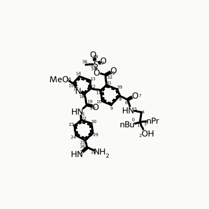 CCCCC(O)(CCC)CNC(=O)c1ccc(-c2ccc(OC)nc2C(=O)Nc2ccc(C(=N)N)cc2)c(C(=O)OS(C)(=O)=O)c1